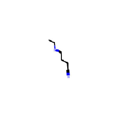 CCN=CCCC#N